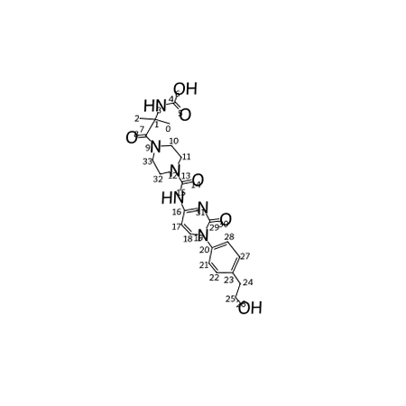 CC(C)(NC(=O)O)C(=O)N1CCN(C(=O)Nc2ccn(-c3ccc(CCO)cc3)c(=O)n2)CC1